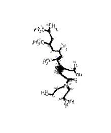 C/C(=C\C(C)CC(C)CC(C)C)C(CC(=O)N(CCO)CCO)C(=O)O